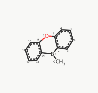 CB1c2ccccc2Oc2ccccc21